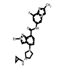 CCn1cc2c(N3CC[C@H](NC4CC4)C3)ccc(C(=O)Nc3cc(F)c4nc(C)cn4c3)c2n1